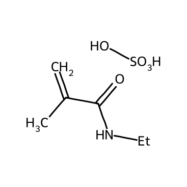 C=C(C)C(=O)NCC.O=S(=O)(O)O